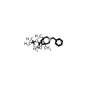 CC(C)(C)OC(=O)N1[C@]2(C)C[C@H](O)[C@]1(C)CN(Cc1ccccc1)C2